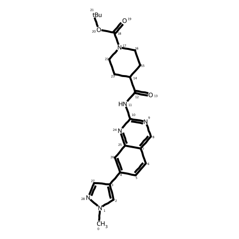 Cn1cc(-c2ccc3cnc(NC(=O)C4CCN(C(=O)OC(C)(C)C)CC4)nc3c2)cn1